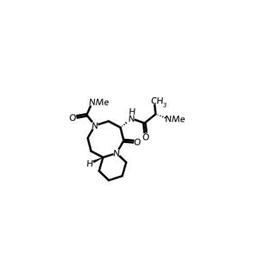 CNC(=O)N1CC[C@H]2CCCCN2C(=O)[C@@H](NC(=O)[C@H](C)NC)C1